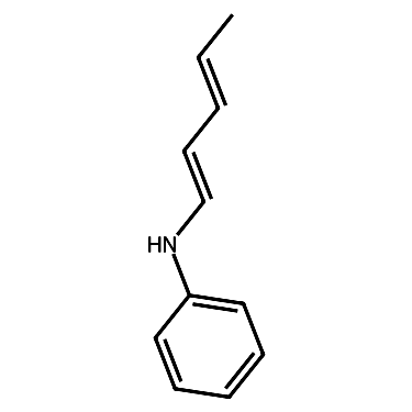 CC=CC=CNc1ccccc1